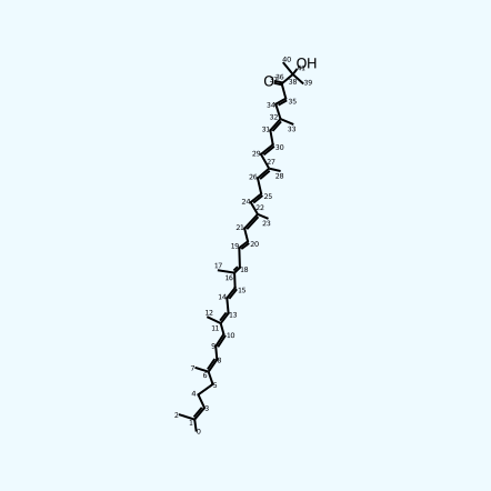 CC(C)=CCC/C(C)=C/C=C/C(C)=C/C=C/C(C)=C/C=C/C=C(C)/C=C/C=C(C)/C=C/C=C(C)/C=C/C(=O)C(C)(C)O